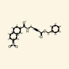 O=C(C#CCNC(=O)c1ccc2ccc([SH](=O)=O)cc2c1)OCc1ccccc1